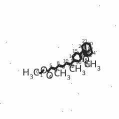 CCOC(=O)/C=C(C)/C=C/C=C(\C)c1ccc(C23CC4CC(CC(C4)C2)C3)c(OC)c1